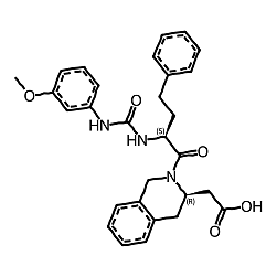 COc1cccc(NC(=O)N[C@@H](CCc2ccccc2)C(=O)N2Cc3ccccc3C[C@@H]2CC(=O)O)c1